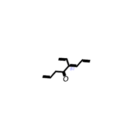 C=C/C=C(\C=C)C(=O)CC=C